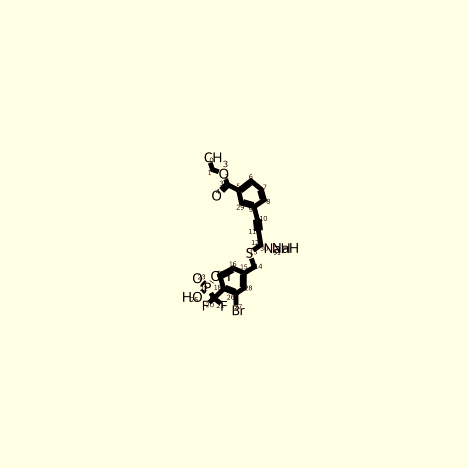 CCOC(=O)c1cccc(C#CCSCc2ccc(C(F)(F)P(=O)(O)O)c(Br)c2)c1.[NaH].[NaH]